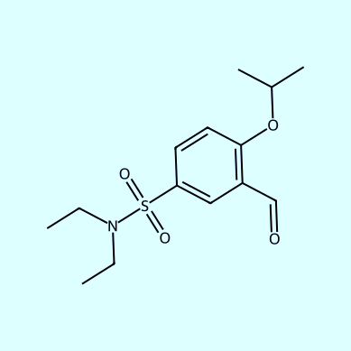 CCN(CC)S(=O)(=O)c1ccc(OC(C)C)c(C=O)c1